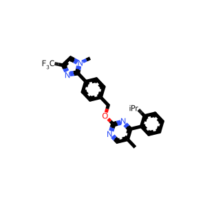 Cc1cnc(OCc2ccc(-c3nc(C(F)(F)F)cn3C)cc2)nc1-c1ccccc1C(C)C